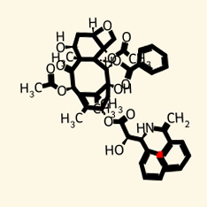 C=C(N[C@@H](c1ccccc1)[C@@H](O)C(=O)O[C@H]1C[C@@]2(O)[C@@H](OC(=O)c3ccccc3)[C@@H]3[C@]4(OC(C)=O)CO[C@@H]4C[C@H](O)[C@@]3(C)C(=O)[C@H](OC(C)=O)C(=C1C)C2(C)C)c1ccccc1